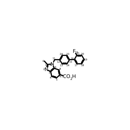 Cc1nc2ccc(C(=O)O)cc2n1Cc1ccc(-c2ccccc2F)cc1